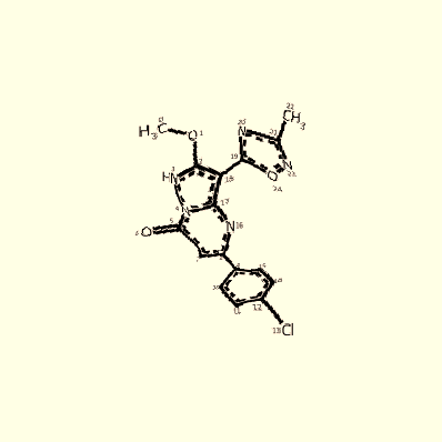 COc1[nH]n2c(=O)cc(-c3ccc(Cl)cc3)nc2c1-c1nc(C)no1